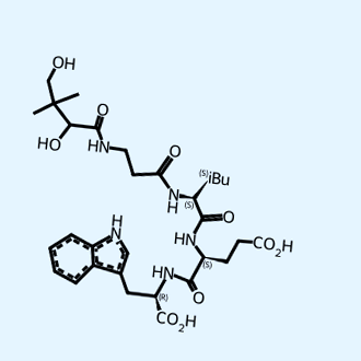 CC[C@H](C)[C@H](NC(=O)CCNC(=O)C(O)C(C)(C)CO)C(=O)N[C@@H](CCC(=O)O)C(=O)N[C@H](Cc1c[nH]c2ccccc12)C(=O)O